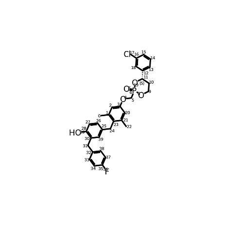 Cc1cc(OCP2(=O)OCC[C@@H](c3cccc(Cl)c3)O2)cc(C)c1Cc1ccc(O)c(Cc2ccc(F)cc2)c1